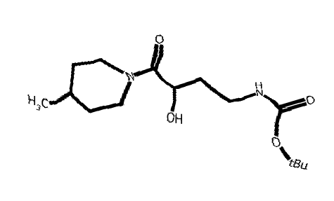 CC1CCN(C(=O)C(O)CCNC(=O)OC(C)(C)C)CC1